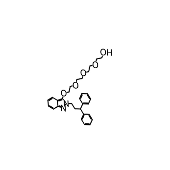 OCCOCCOCCOCCOc1c2ccccc2nn1CCC(c1ccccc1)c1ccccc1